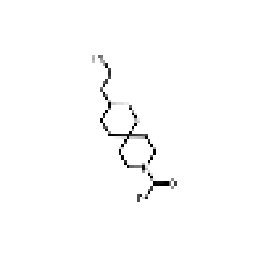 CC(C)CCC1CCC2(CC1)CCN(C(=O)C(C)C)CC2